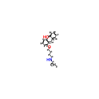 CCNCCCCOc1ccccc1Cc1ccccc1O